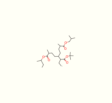 [CH2]CC(C(=O)OC(C)(C)C)C(CCC(C)C(=O)OCC(C)C)CCC(C)C(=O)OC(C)CC